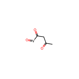 CC(=O)C[C](=O)[V]=[O]